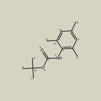 Cc1cc(C)c(NC(=O)OC(C)(C)C)c(C)c1